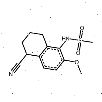 COc1ccc2c(c1NS(C)(=O)=O)CCCC2C#N